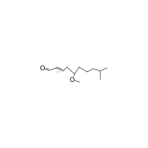 COC(C/C=C/C=O)CCCC(C)C